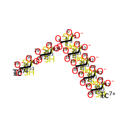 O=C([O-])CC(S)(S)C(=O)[O-].O=C([O-])CC(S)(S)C(=O)[O-].O=C([O-])CC(S)(S)C(=O)[O-].O=C([O-])CC(S)(S)C(=O)[O-].O=C([O-])CC(S)(S)C(=O)[O-].O=C([O-])CC(S)(S)C(=O)[O-].O=C([O-])CC(S)(S)C(=O)[O-].[Tc+7].[Tc+7]